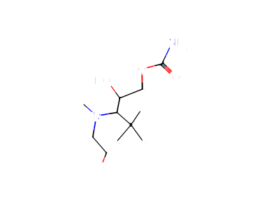 CN(CCO)C(C(O)COC(N)=O)C(C)(C)C